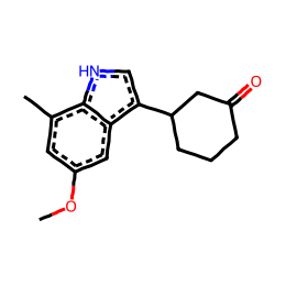 COc1cc(C)c2[nH]cc(C3CCCC(=O)C3)c2c1